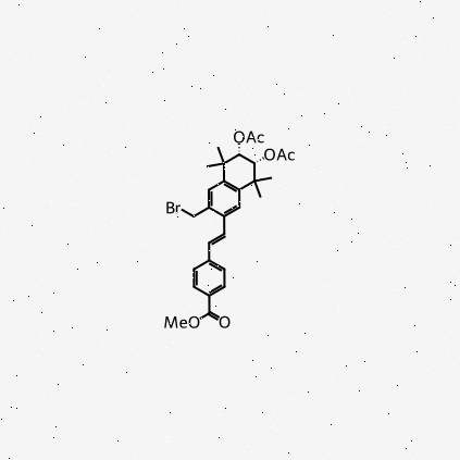 COC(=O)c1ccc(/C=C/c2cc3c(cc2CBr)C(C)(C)[C@H](OC(C)=O)[C@H](OC(C)=O)C3(C)C)cc1